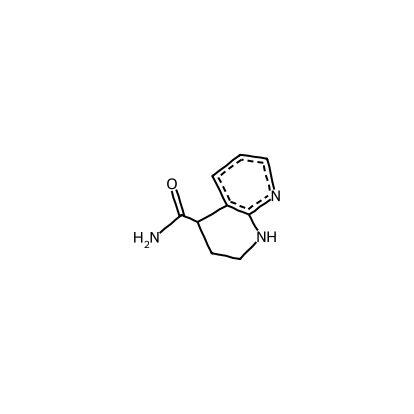 NC(=O)C1CCNc2ncccc21